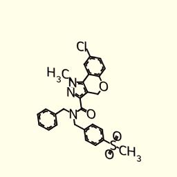 Cn1nc(C(=O)N(Cc2ccccc2)Cc2ccc(S(C)(=O)=O)cc2)c2c1-c1cc(Cl)ccc1OC2